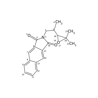 CC(CN1C(=O)c2cc3ccccc3cc2C1=O)C1OC1(C)C